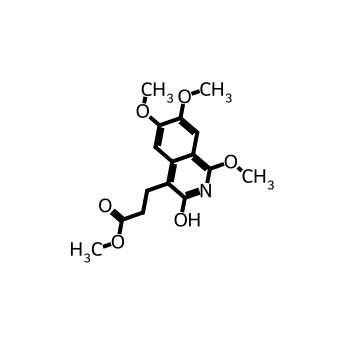 COC(=O)CCc1c(O)nc(OC)c2cc(OC)c(OC)cc12